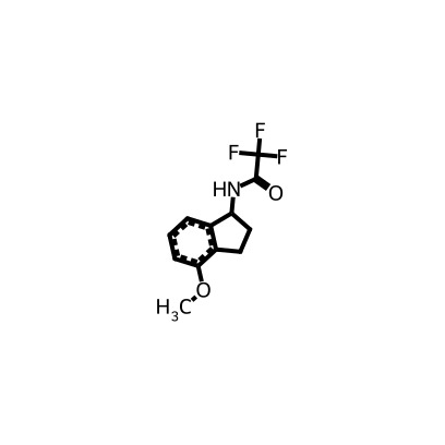 COc1cccc2c1CCC2NC(=O)C(F)(F)F